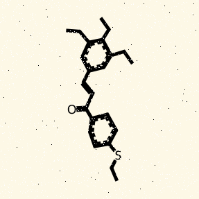 CCSc1ccc(C(=O)C=Cc2cc(CC)c(CC)c(CC)c2)cc1